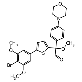 COc1cc(-c2ccc(C(C=O)(OC)c3ccc(N4CCOCC4)cc3)s2)cc(OC)c1Br